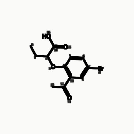 CCC(Oc1ccc(Br)cc1C(C)=O)C(=O)O